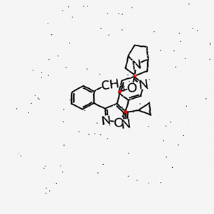 Cc1ccccc1-c1noc(C2CC2)c1COC1CC2CCC(C1)N2c1ccc(C#N)cn1